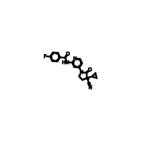 N#C[C@@]1(C2CC2)CCN(c2ccnc(NC(=O)c3ccc(F)cc3)c2)C1=O